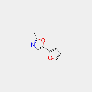 [CH2]c1ncc(-c2ccco2)o1